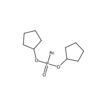 CC(=O)P(=O)(OC1CCCC1)OC1CCCC1